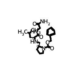 CC(C)C[C@H](NC[C@@H]1CCCN1C(=O)OCc1ccccc1)C(=O)NCC(N)=O